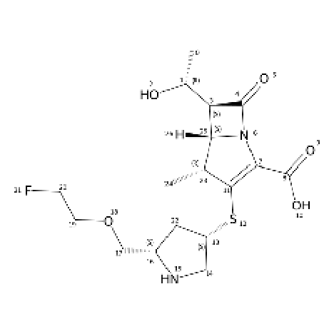 C[C@@H](O)[C@H]1C(=O)N2C(C(=O)O)=C(S[C@@H]3CN[C@H](COCCF)C3)[C@H](C)[C@H]12